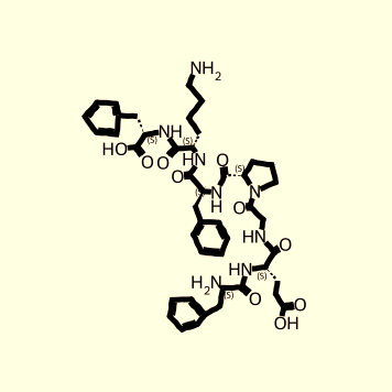 NCCCC[C@H](NC(=O)[C@H](Cc1ccccc1)NC(=O)[C@@H]1CCCN1C(=O)CNC(=O)[C@H](CCC(=O)O)NC(=O)[C@@H](N)Cc1ccccc1)C(=O)N[C@@H](Cc1ccccc1)C(=O)O